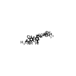 C=Cc1ccc(Oc2c(F)cc3c(ccn3COCC[Si](C)(C)C)c2F)cc1C(=N)SC.I